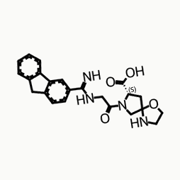 N=C(NCC(=O)N1CC2(C[C@H]1C(=O)O)NCCO2)c1ccc2c(c1)-c1ccccc1C2